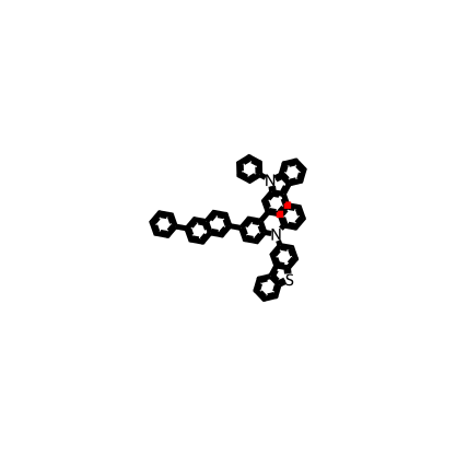 c1ccc(-c2ccc3cc(-c4ccc(N(c5ccccc5)c5ccc6sc7ccccc7c6c5)c(-c5ccc6c7ccccc7n(-c7ccccc7)c6c5)c4)ccc3c2)cc1